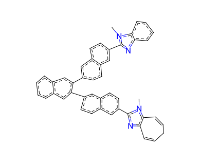 Cn1c(-c2ccc3cc(-c4cc5ccccc5cc4-c4ccc5cc(-c6nc7ccccc7n6C)ccc5c4)ccc3c2)nc2c1C=CCC=C2